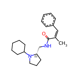 CC(=Cc1ccccc1)C(=O)NC[C@@H]1CCCN1C1CCCCC1